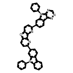 c1ccc(-n2c3ccccc3c3ccc(-c4ccc5oc6ccc(-c7ccc8c9nncnc9n(-c9ccccc9)c8c7)nc6c5n4)cc32)cc1